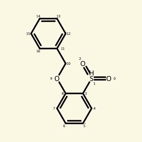 O=[SH](=O)c1c[c]ccc1OCc1ccccc1